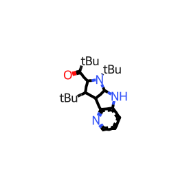 CC(C)(C)C(=O)C1C(C(C)(C)C)C2c3ncccc3NC2N1C(C)(C)C